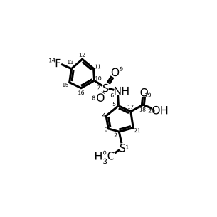 CSc1ccc(NS(=O)(=O)c2ccc(F)cc2)c(C(=O)O)c1